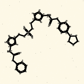 O=C(Cc1ccccn1)Nc1nnc(CCS(=O)(=O)CCc2nnc(NC(=O)Cc3ccc(C4CCCC4)cn3)s2)s1